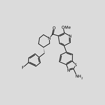 COc1ncc(-c2ccc3nc(N)sc3c2)cc1C(=O)N1CCC[C@@H](Cc2ccc(F)cc2)C1